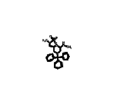 CPC1CN(C(c2ccccc2)(c2ccccc2)c2ccccc2)CC(CN(C)S(=O)(=O)Cl)O1